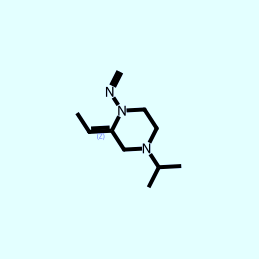 C=NN1CCN(C(C)C)C/C1=C/C